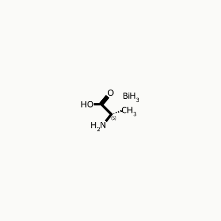 C[C@H](N)C(=O)O.[BiH3]